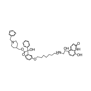 O=C(OCC1CCN(Cc2ccccc2)CC1)[C@](O)(c1ccccc1)c1cccc(OCCCCCCCCNC[C@H](O)c2ccc(O)c3[nH]c(=O)ccc23)c1